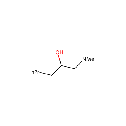 [CH2]NCC(O)CCCC